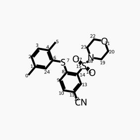 Cc1ccc(C)c(Sc2ccc(C#N)cc2S(=O)(=O)N2CCOCC2)c1